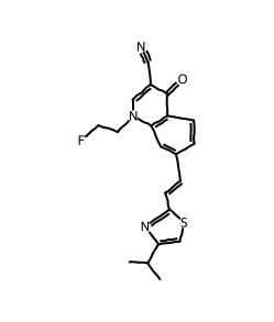 CC(C)c1csc(C=Cc2ccc3c(=O)c(C#N)cn(CCF)c3c2)n1